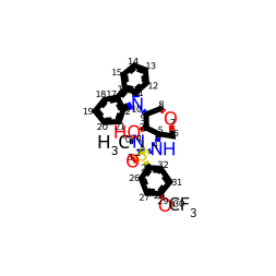 CN=S(=O)(NC1COCC(n2c3ccccc3c3ccccc32)C1O)c1ccc(OC(F)(F)F)cc1